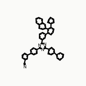 N#Cc1cccc(-c2ccc(-c3nc(-c4ccc(-c5ccccc5)cc4)nc(-c4cccc(-c5cccc(-c6ccccc6)c5-c5ccc6ccccc6c5)c4)n3)cc2)c1